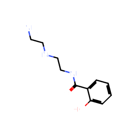 NCCNCCNC(=O)c1ccccc1O